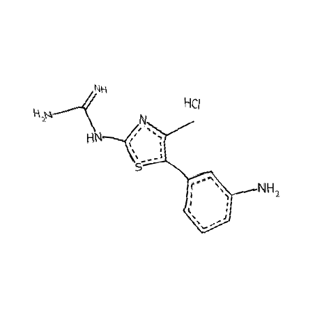 Cc1nc(NC(=N)N)sc1-c1cccc(N)c1.Cl